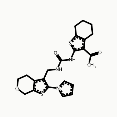 CC(=O)c1c(NC(=O)NCc2c(-n3cccc3)sc3c2CCOC3)sc2c1CCCC2